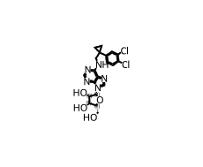 OC[C@H]1O[C@@H](n2cnc3c(NCC4(c5ccc(Cl)c(Cl)c5)CC4)ncnc32)[C@H](O)[C@@H]1O